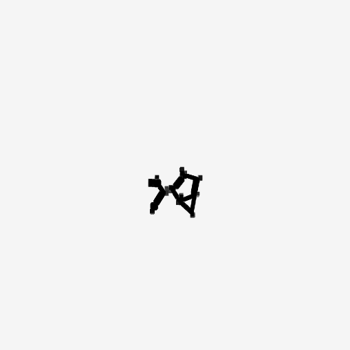 O=CO.c1nnn2c1C2